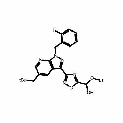 CCOC(O)c1nc(-c2nn(Cc3ccccc3F)c3ncc(CC(C)(C)C)cc23)no1